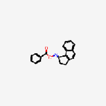 O=C(O/N=C1\CCc2ccc3ccccc3c21)c1ccccc1